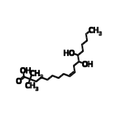 CCCCCC(O)C(O)C/C=C\CCCCCCC(C)(C)C(=O)O